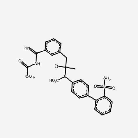 CCC(C)(Cc1cccc(C(=N)NC(=O)OC)c1)N(C(=O)O)c1ccc(-c2ccccc2S(N)(=O)=O)cc1